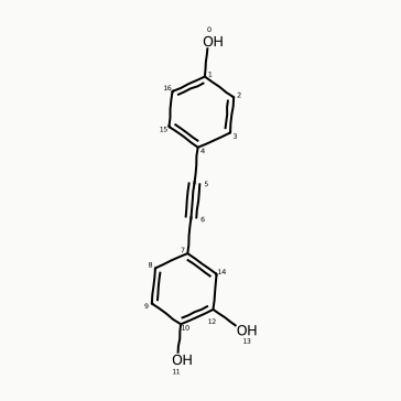 Oc1ccc(C#Cc2ccc(O)c(O)c2)cc1